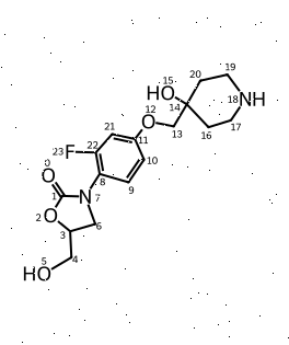 O=C1OC(CO)CN1c1ccc(OCC2(O)CCNCC2)cc1F